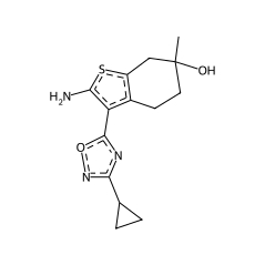 CC1(O)CCc2c(sc(N)c2-c2nc(C3CC3)no2)C1